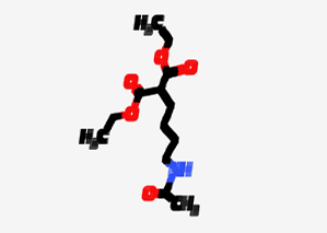 CCOC(=O)C(CCCCNC(C)=O)C(=O)OCC